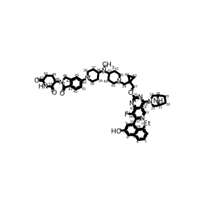 CCc1cccc2cc(O)cc(-c3ncc4c(N5CC6CCC(C5)N6)nc(OCC5(CN6CCC(N(C)C7CCN(c8ccc9c(c8)CN(C8CCC(=O)NC8=O)C9=O)CC7)CC6)CC5)nc4c3F)c12